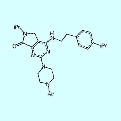 CC(=O)N1CCN(c2nc(NCCc3ccc(C(C)C)cc3)c3c(n2)C(=O)N(C(C)C)C3)CC1